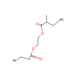 CC(C)CCC(=O)OCCOC(=O)C(C)CC(C)C